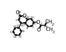 C=C(C)C(=O)Oc1ccc2c(-c3ccccc3)cc(=O)oc2c1